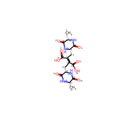 C[C@@H]1NC(=O)[C@H](CC(C(=O)O)=C(C[C@@H]2NC(=O)[C@H](C)NC2=O)C(=O)O)NC1=O